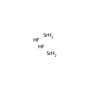 F.F.[SrH2].[SrH2]